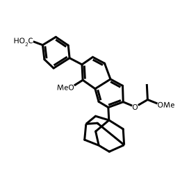 COc1c(-c2ccc(C(=O)O)cc2)ccc2cc(OC(C)OC)c(C34CC5CC(CC(C5)C3)C4)cc12